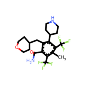 Cc1c(C(F)(F)F)c(C(N)=O)c(CC2CCOCC2)c(C2CCNCC2)c1C(F)(F)F